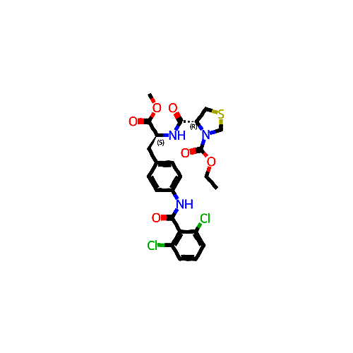 CCOC(=O)N1CSC[C@H]1C(=O)N[C@@H](Cc1ccc(NC(=O)c2c(Cl)cccc2Cl)cc1)C(=O)OC